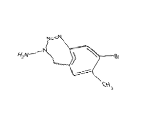 Cc1cc2c(cc1Br)N=NN(N)C2